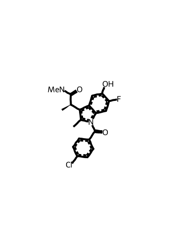 CNC(=O)[C@H](C)c1c(C)n(C(=O)c2ccc(Cl)cc2)c2cc(F)c(O)cc12